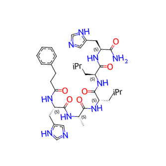 CC(C)C[C@H](NC(=O)[C@H](C)NC(=O)[C@H](Cc1cnc[nH]1)NC(=O)CCc1ccccc1)C(=O)N[C@@H](CC(C)C)C(=O)N[C@@H](Cc1cnc[nH]1)C(N)=O